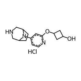 Cl.OC1CC(Oc2cc(N3C4CCC3CNC4)ccn2)C1